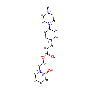 CN1CCN(C2CCN(CCC(=O)OCCN3CCCCC3=O)CC2)CC1